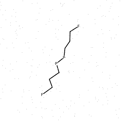 FCCC[P][P]CCCF